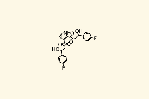 O=S(=O)(CC(O)c1ccc(F)cc1)c1nc[nH]c1S(=O)(=O)CC(O)c1ccc(F)cc1